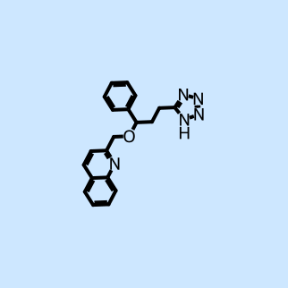 c1ccc(C(CCc2nnn[nH]2)OCc2ccc3ccccc3n2)cc1